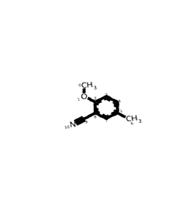 COc1ccc(C)cc1C#N